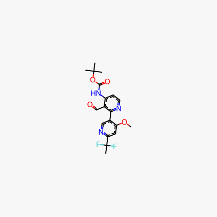 COc1cc(C(C)(F)F)ncc1-c1nccc(NC(=O)OC(C)(C)C)c1C=O